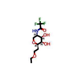 CCOCC[C@H]1OC[C@@H](NC(=O)C(F)(F)F)[C@@H](O)[C@H]1O